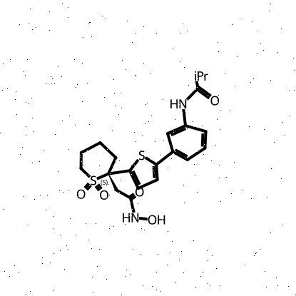 CC(C)C(=O)Nc1cccc(-c2ccc([C@@]3(CC(=O)NO)CCCCS3(=O)=O)s2)c1